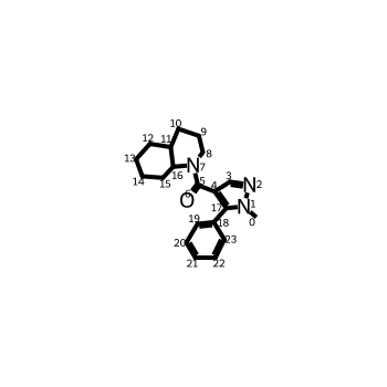 Cn1ncc(C(=O)N2CCCC3CCCCC32)c1-c1ccccc1